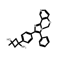 CC1(O)CC(N)(c2ccc(-c3nc4n(c3-c3ccccc3)COc3ccncc3-4)cc2)C1